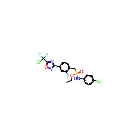 CCOP(=O)(Cc1ccc(-c2noc(C(F)(F)Cl)n2)cc1F)Nc1ccc(Cl)cc1